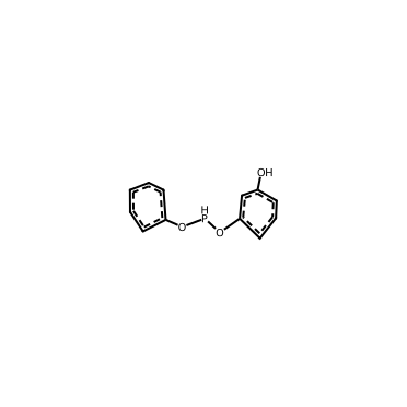 Oc1cccc(OPOc2ccccc2)c1